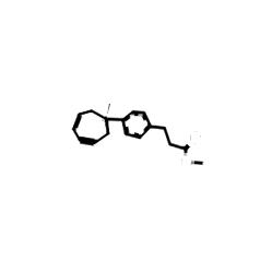 COC(=O)CCc1ccc([C@]2(C)CC#CC=CC2)cc1